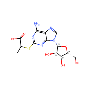 CC(Sc1nc(N)c2ncn([C@@H]3O[C@H](CO)[C@@H](O)[C@H]3O)c2n1)C(=O)O